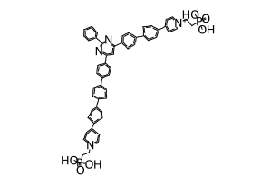 O=P(O)(O)CC[n+]1ccc(-c2ccc(-c3ccc(-c4ccc(-c5cc(-c6ccc(-c7ccc(-c8cc[n+](CCP(=O)(O)O)cc8)cc7)cc6)nc(-c6ccccc6)n5)cc4)cc3)cc2)cc1